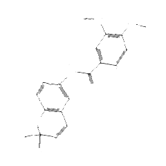 COc1ccc(C(=O)Oc2ccc3c(c2)C=CC(C)(C)O3)cc1OC